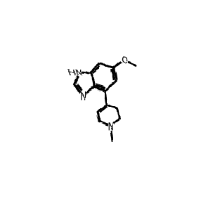 COc1cc(C2=CCN(C)CC2)c2nc[nH]c2c1